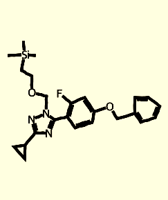 C[Si](C)(C)CCOCn1nc(C2CC2)nc1-c1ccc(OCc2ccccc2)cc1F